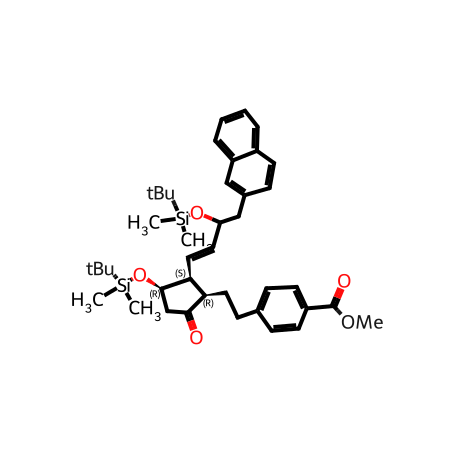 COC(=O)c1ccc(CC[C@H]2C(=O)C[C@@H](O[Si](C)(C)C(C)(C)C)[C@H]2C=CC(Cc2ccc3ccccc3c2)O[Si](C)(C)C(C)(C)C)cc1